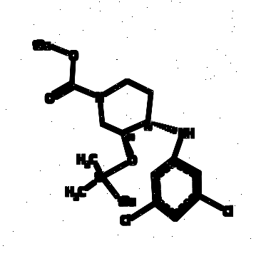 CC(C)(C)OC(=O)N1CC[C@H](Nc2cc(Cl)cc(Cl)c2)[C@@H](O[Si](C)(C)C(C)(C)C)C1